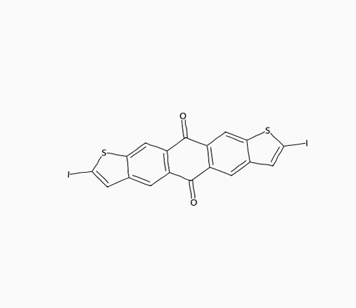 O=C1c2cc3cc(I)sc3cc2C(=O)c2cc3sc(I)cc3cc21